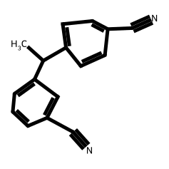 C[C](c1ccc(C#N)cc1)c1cccc(C#N)c1